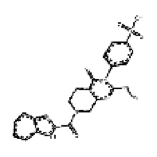 CC(C)Nc1nc2c(c(=O)n1-c1ccc(S(C)(=O)=O)cc1)CCN(C(=O)c1nc3ccccc3[nH]1)C2